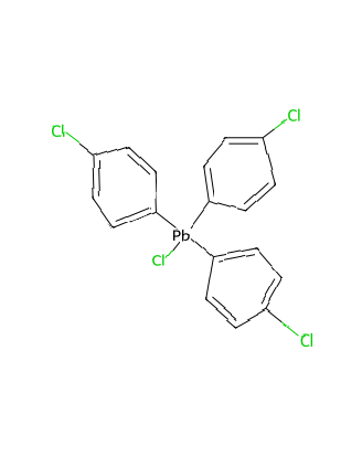 Clc1cc[c]([Pb]([Cl])([c]2ccc(Cl)cc2)[c]2ccc(Cl)cc2)cc1